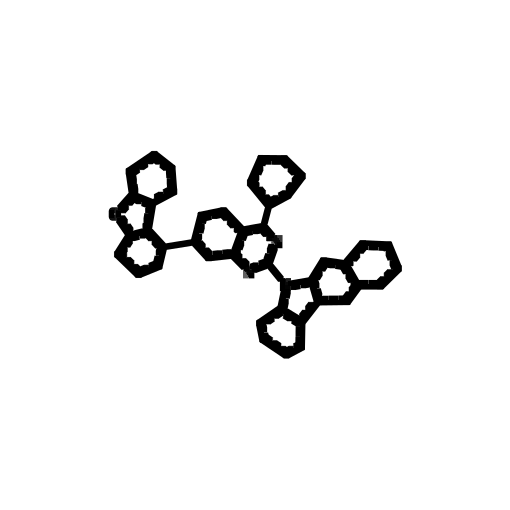 c1ccc(-c2nc(-n3c4ccccc4c4cc5ccccc5cc43)nc3cc(-c4cccc5oc6ccccc6c45)ccc23)cc1